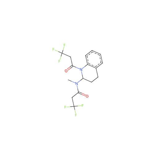 CN(C(=O)CC(F)(F)F)C1CCc2ccccc2N1C(=O)CC(F)(F)F